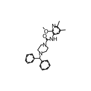 COc1nc(C)c(C)cc1NC(=O)N1CCN(C(c2ccccc2)c2ccccc2)CC1